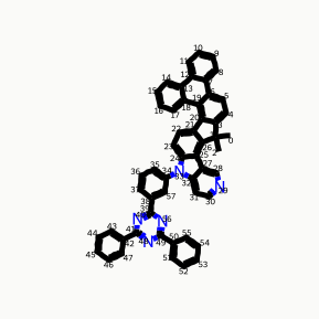 CC1(C)c2ccc3c4ccccc4c4ccccc4c3c2-c2ccc3c(c21)c1cnccc1n3-c1cccc(-c2nc(-c3ccccc3)nc(-c3ccccc3)n2)c1